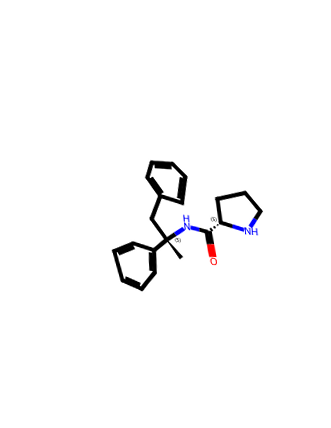 C[C@@](Cc1ccccc1)(NC(=O)[C@@H]1CCCN1)c1ccccc1